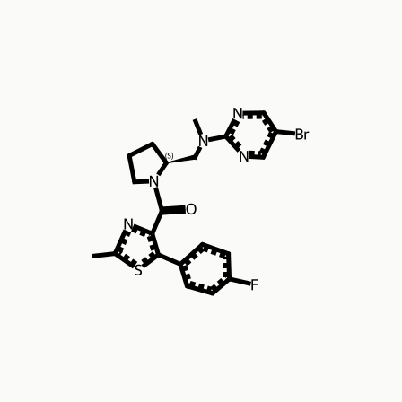 Cc1nc(C(=O)N2CCC[C@H]2CN(C)c2ncc(Br)cn2)c(-c2ccc(F)cc2)s1